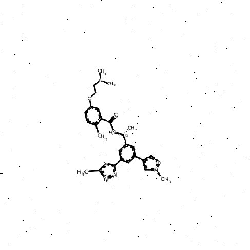 Cc1nnc(-c2cc(-c3cnn(C)c3)cc([C@@H](C)NC(=O)c3cc(OCCN(C)C)ccc3C)c2)s1